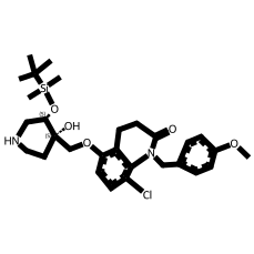 COc1ccc(CN2C(=O)CCc3c(OC[C@@]4(O)CCNC[C@@H]4O[Si](C)(C)C(C)(C)C)ccc(Cl)c32)cc1